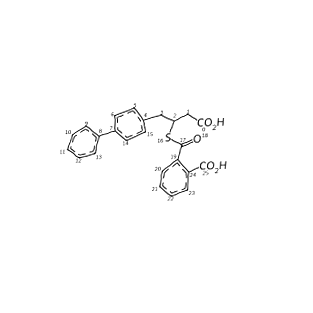 O=C(O)CC(Cc1ccc(-c2ccccc2)cc1)SC(=O)c1ccccc1C(=O)O